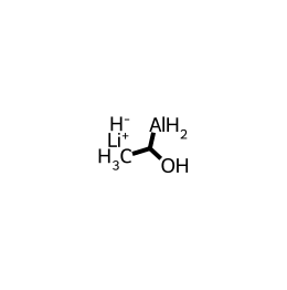 C[CH](O)[AlH2].[H-].[Li+]